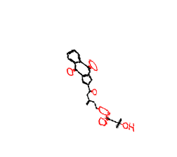 C=C(CCOC(=O)C(C)(C)O)CC(=O)C1=CC2=C(C1)C(=O)c1ccccc1C2=O